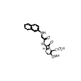 COC1=C(C(=O)O)N2C(=O)C(NC(=O)CNc3ccc4ccccc4c3)[C@@H]2SC1